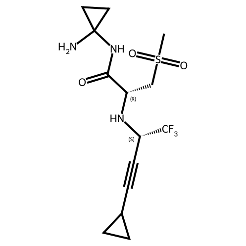 CS(=O)(=O)C[C@H](N[C@@H](C#CC1CC1)C(F)(F)F)C(=O)NC1(N)CC1